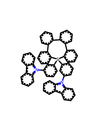 c1cc(-n2c3ccccc3c3ccccc32)cc([Si]2(c3cccc(-n4c5ccccc5c5ccccc54)c3)c3ccccc3-c3ccccc3-c3ccccc3-c3ccccc32)c1